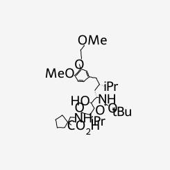 COCCCOc1cc(C[C@@H](C[C@H](NC(=O)OC(C)(C)C)[C@@H](O)C[C@H](C(=O)NCC2(C(=O)O)CCCC2)C(C)C)C(C)C)ccc1OC